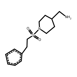 NCC1CCN(S(=O)(=O)CCc2ccccc2)CC1